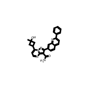 CC1(O)CC(c2ccnc3c(C(N)=O)c(-c4ccc5ccc(-c6ccccc6)nc5c4)nn23)C1